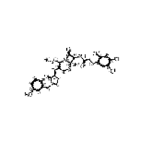 O=C(CSc1cc(Cl)c(Cl)cc1Cl)N[C@@H]1C(=O)N2C(C(=O)O)=C(/C=C3\CCN(Cc4cccc(O)c4)C3=O)CS[C@H]12